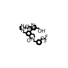 CNc1nccn1Cc1cc2c(c(-c3cc(CO)cnc3Cl)c1)CCN(Cc1cccc(OC(F)F)c1)C2=O